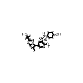 COc1ncc(C2C(C)N=C3SC(C(C)(C)O)=NN32)cc1S(=O)(=O)N[C@H]1CC[C@@H](O)CC1